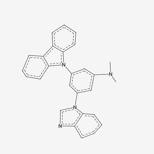 CN(C)c1cc(-n2cnc3ccccc32)cc(-n2c3ccccc3c3ccccc32)c1